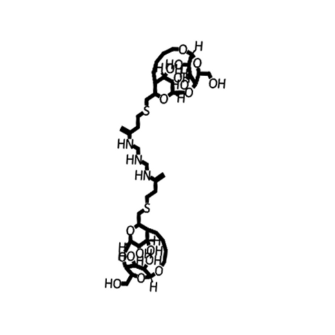 C=C(CCSCC1O[C@@H]2OC3C(CO)O[C@H](OCCCCC1[C@H](O)C2O)C(O)[C@H]3O)NCNCNC(=C)CCSCC1O[C@@H]2OC3C(CO)O[C@H](OCCCCC1[C@H](O)C2O)C(O)[C@H]3O